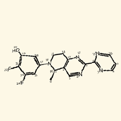 C[C@@H]1c2cnc(-c3ncccn3)nc2CCN1c1cc(O)c(F)c(F)c1